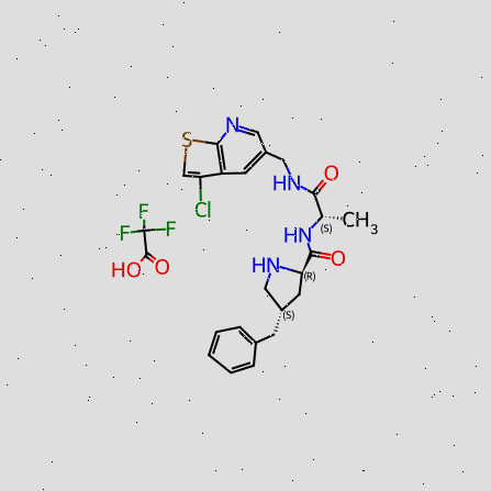 C[C@H](NC(=O)[C@H]1C[C@H](Cc2ccccc2)CN1)C(=O)NCc1cnc2scc(Cl)c2c1.O=C(O)C(F)(F)F